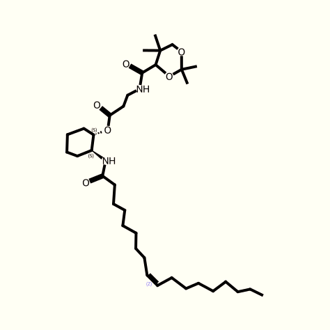 CCCCCCCC/C=C\CCCCCCCC(=O)N[C@H]1CCCC[C@@H]1OC(=O)CCNC(=O)C1OC(C)(C)OCC1(C)C